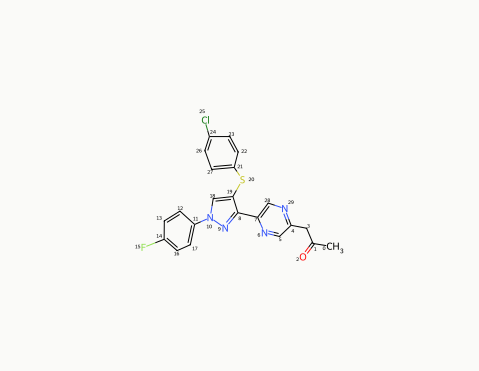 CC(=O)Cc1cnc(-c2nn(-c3ccc(F)cc3)cc2Sc2ccc(Cl)cc2)cn1